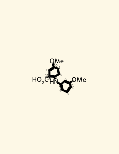 COc1cccc(Nc2ccc(OC)cc2C(=O)O)c1